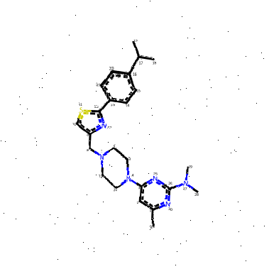 Cc1cc(N2CCN(Cc3csc(-c4ccc(C(C)C)cc4)n3)CC2)nc(N(C)C)n1